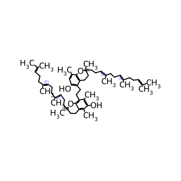 CC(C)=CCC/C(C)=C/CC/C(C)=C/CC[C@]1(C)CCc2c(CCc3c(C)c(O)c(C)c4c3O[C@](C)(CC/C=C(\C)CC/C=C(\C)CCC=C(C)C)CC4)c(O)cc(C)c2O1